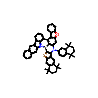 CC1(C)CCC(C)(C)c2cc(N3c4cc5oc6ccccc6c5c5c4B(c4sc6cc7c(cc6c43)C(C)(C)CCC7(C)C)n3c4cc6ccccc6cc4c4cccc-5c43)ccc21